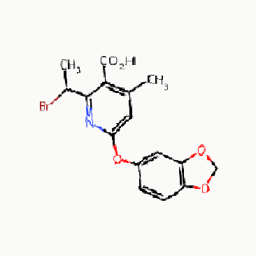 Cc1cc(Oc2ccc3c(c2)OCO3)nc(C(C)Br)c1C(=O)O